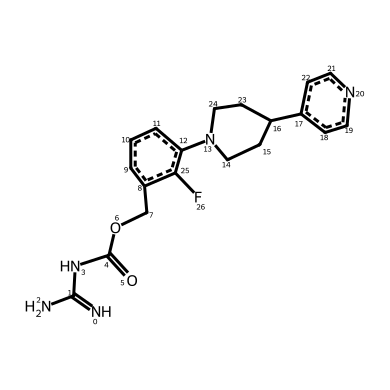 N=C(N)NC(=O)OCc1cccc(N2CCC(c3ccncc3)CC2)c1F